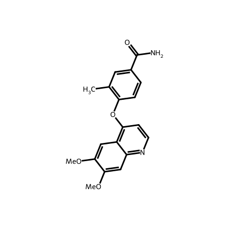 COc1cc2nccc(Oc3ccc(C(N)=O)cc3C)c2cc1OC